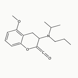 CCCN(C(C)C)C1Cc2c(OC)cccc2OC1=C=O